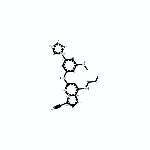 COc1cc(Nc2cc(NCCF)c3ncc(C#N)n3n2)cc(-n2cnnn2)c1